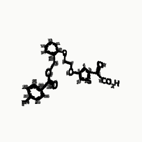 O=C(O)C(=O)c1cc(OCCOc2ccccc2COC(=O)c2ccc(F)cc2)cs1